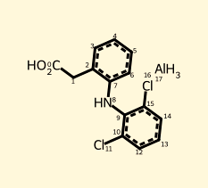 O=C(O)Cc1ccccc1Nc1c(Cl)cccc1Cl.[AlH3]